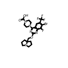 O=C(O)N1CCN(c2nc(OCC34CCCN3CCC4)nc3c(F)c(Br)c(C(F)(F)F)cc23)CC1